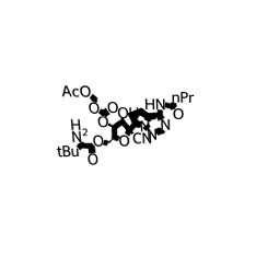 CCCC(=O)Nc1ncnn2c([C@]3(C#N)O[C@H](COC(=O)C(N)C(C)(C)C)[C@@H](OC(=O)OCOC(C)=O)[C@H]3O)ccc12